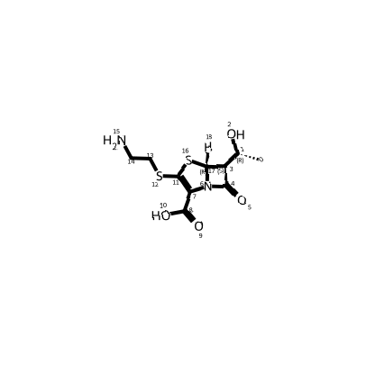 C[C@@H](O)[C@H]1C(=O)N2C(C(=O)O)=C(SCCN)S[C@H]12